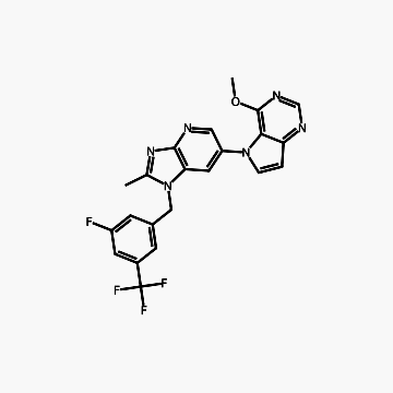 COc1ncnc2ccn(-c3cnc4nc(C)n(Cc5cc(F)cc(C(F)(F)F)c5)c4c3)c12